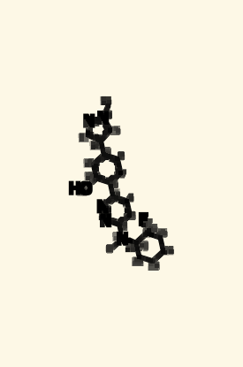 CN(c1ccc(-c2ccc(-c3cnn(C)c3)cc2O)nn1)[C@@H]1CCCC[C@H]1F